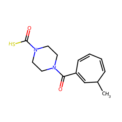 CC1C=CC=CC(C(=O)N2CCN(C(=O)S)CC2)=C1